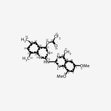 COc1cc(OC)c2nc(Nc3nc(OC(=O)C(F)(F)F)c4cc(C)cc(C)c4n3)nc(C)c2c1